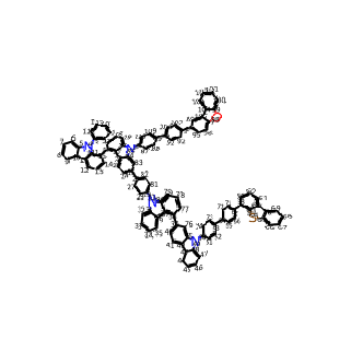 c1ccc(-n2c3ccccc3c3cccc(-c4cccc5c4c4ccc(-c6ccc(-n7c8ccccc8c8c(-c9ccc%10c%11ccccc%11n(-c%11ccc(-c%12ccc(-c%13cccc%14c%13sc%13ccccc%13%14)cc%12)cc%11)c%10c9)cccc87)cc6)cc4n5-c4ccc(-c5ccc(-c6ccc7oc8ccccc8c7c6)cc5)cc4)c32)cc1